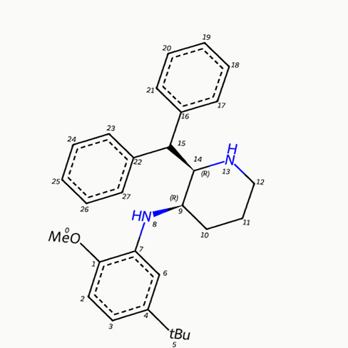 COc1ccc(C(C)(C)C)cc1N[C@@H]1CCCN[C@@H]1C(c1ccccc1)c1ccccc1